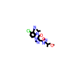 COCC(C)c1noc(-c2ncn3c2c(=O)n(C(C)C)c2c(C#N)c(Cl)ccc23)n1